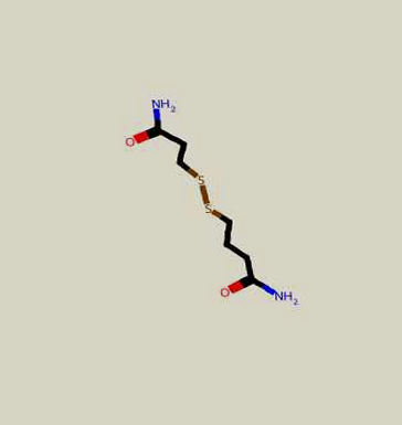 NC(=O)CCCSSCCC(N)=O